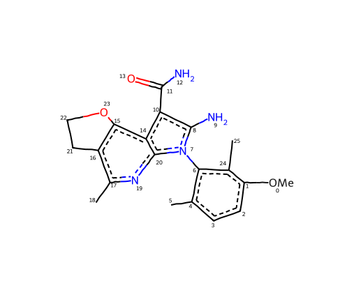 COc1ccc(C)c(-n2c(N)c(C(N)=O)c3c4c(c(C)nc32)CCO4)c1C